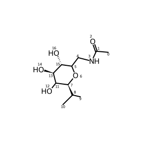 CC(=O)NCC1O[C@@H](C(C)C)C(O)[C@@H](O)[C@@H]1O